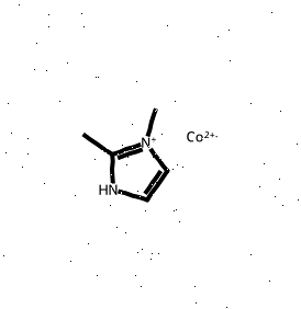 Cc1[nH]cc[n+]1C.[Co+2]